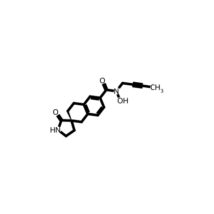 CC#CCN(O)C(=O)c1ccc2c(c1)CC[C@]1(CCNC1=O)C2